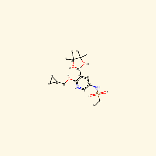 CCS(=O)(=O)Nc1cnc(OCC2CC2)c(B2OC(C)(C)C(C)(C)O2)c1